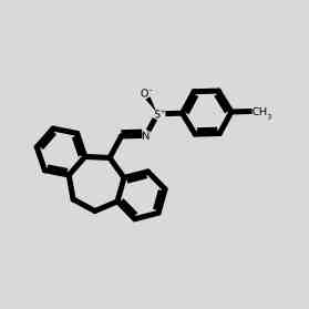 Cc1ccc([S@+]([O-])/N=C/C2c3ccccc3CCc3ccccc32)cc1